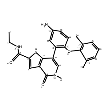 CCNC(=O)c1cc2c(=O)n(C)cc(-c3cc(N)ccc3Oc3c(C)cccc3C)c2s1